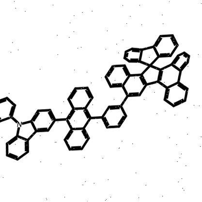 c1ccc(-n2c3ccccc3c3cc(-c4c5ccccc5c(-c5cccc(-c6cc7c(c8ccccc68)C6(c8ccccc8-c8ccccc86)c6c-7c7ccccc7c7ccccc67)c5)c5ccccc45)ccc32)cc1